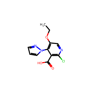 CCOc1cnc(Cl)c(C(=O)O)c1-n1cccn1